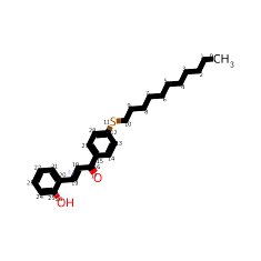 CCCCCCCCCCCSc1ccc(C(=O)/C=C/c2ccccc2O)cc1